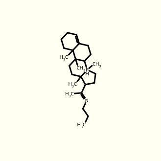 CCC/N=C(\C)C1CC[PH]2(C)C3CCC4=CCCCC4(C)C3(C)CCC12C